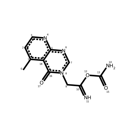 Cc1ccnc2ncn(CC(=N)OC(N)=O)c(=O)c12